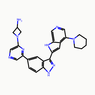 NC1CN(c2cncc(-c3ccc4[nH]nc(-c5cc6c(N7CCCCC7)cncc6[nH]5)c4c3)n2)C1